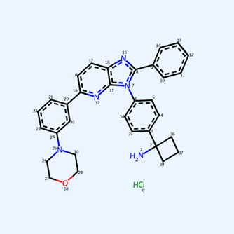 Cl.NC1(c2ccc(-n3c(-c4ccccc4)nc4ccc(-c5cccc(N6CCOCC6)c5)nc43)cc2)CCC1